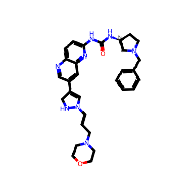 O=C(Nc1ccc2ncc(C3=CN(CCCN4CCOCC4)NC3)cc2n1)N[C@H]1CCN(Cc2ccccc2)C1